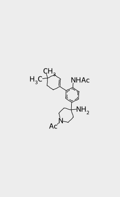 CC(=O)Nc1ccc(C2(N)CCN(C(C)=O)CC2)cc1C1=CCC(C)(C)CC1